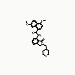 COc1ccc2c(OC)ccc(C(=O)Nc3cccc4c3C(=O)N(CC3CCOCC3)C4)c2c1